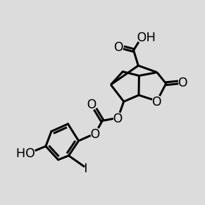 O=C(Oc1ccc(O)cc1I)OC1C2CC3C1OC(=O)C3C2C(=O)O